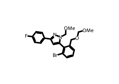 COCOCc1cccc(Br)c1-c1cc(-c2ccc(F)cc2)nn1COC